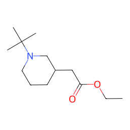 CCOC(=O)CC1CCCN(C(C)(C)C)C1